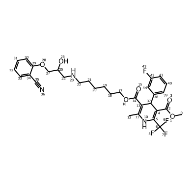 COC(=O)C1=C(C(F)(F)F)NC(C)=C(C(=O)OCCCCCCNCC(O)COc2ccccc2C#N)C1c1cccc(F)c1